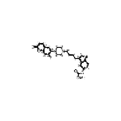 COC(=O)Oc1ccc2[nH]cc(CCCCN3CCN(c4cc5ccc(=O)oc5cc4F)CC3)c2c1